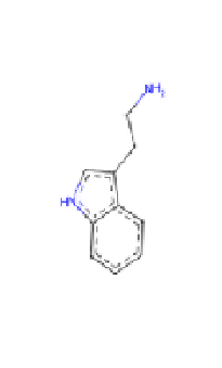 N[CH]Cc1c[nH]c2ccccc12